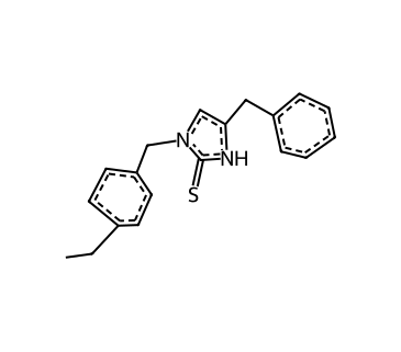 CCc1ccc(Cn2cc(Cc3ccccc3)[nH]c2=S)cc1